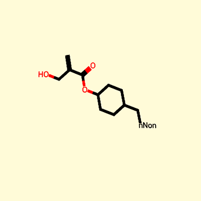 C=C(CO)C(=O)OC1CCC(CCCCCCCCCC)CC1